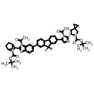 CC(=O)n1c(-c2ccc3c(c2)C(F)(F)c2cc(-c4ccc5nc(C6C7CCC(C7)N6C(=O)OC(C)(C)C)n(C(C)=O)c5c4)ccc2-3)cnc1[C@@H]1CC2(CC2)CN1C(=O)OC(C)(C)C